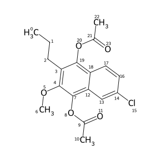 CCCc1c(OC)c(OC(C)=O)c2cc(Cl)ccc2c1OC(C)=O